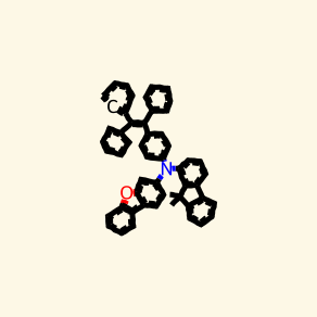 CC1(C)c2ccccc2-c2cccc(N(c3ccc(C(=C(c4ccccc4)c4ccccc4)c4ccccc4)cc3)c3ccc4c(c3)oc3ccccc34)c21